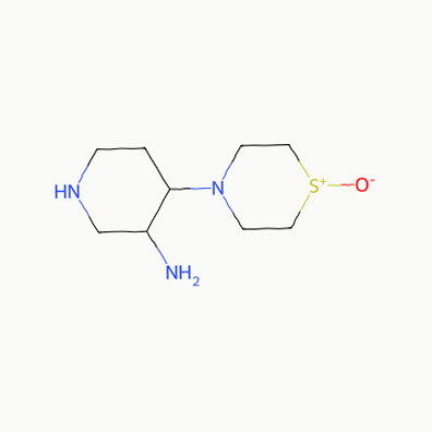 NC1CNCCC1N1CC[S+]([O-])CC1